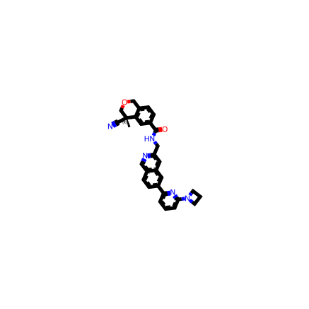 C[C@@]1(C#N)COCc2ccc(C(=O)NCc3cc4cc(-c5cccc(N6CCC6)n5)ccc4cn3)cc21